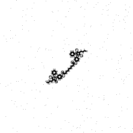 CCCCC1C(=O)N(c2ccccc2)N(c2ccc(OC(=O)CCCCCCCC(=O)Oc3ccc(N4C(=O)C(CCCC)C(=O)N4c4ccccc4)cc3)cc2)C1=O